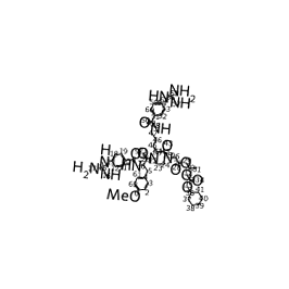 COc1ccc(CC(NC(=O)c2ccc(NC(=N)N)cc2)C(=O)N2CCN(CC(=O)OC(C)OC(=O)OC3CCCCC3)C(=O)[C@@H]2CCCNC(=O)c2ccc(NC(=N)N)cc2)cc1